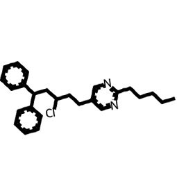 CCCCCc1ncc(CCC(Cl)CC(c2ccccc2)c2ccccc2)cn1